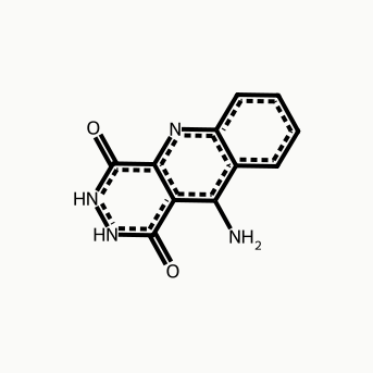 Nc1c2ccccc2nc2c(=O)[nH][nH]c(=O)c12